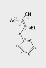 CC/C(Cc1ccccc1)=C(\C#N)C(C)=O